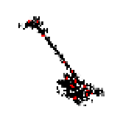 CC(C)C[C@H](NC(=O)C(Cc1cnc[nH]1)NC(=O)[C@H](CO)NC(=O)[C@H](C)NC(=O)[C@H](CO)NC(=O)[C@@H](NC(=O)[C@H](CCCCN)NC(=O)C1CCCN1C(=O)[C@@H](NC(=O)[C@H](CCCNC(=N)N)NC(=O)[C@@H](C)CC(C)C)C(C)C)C(C)C)C(=O)N[C@@H](CCC(=O)O)C(=O)NCCOCCOCCOCCOCCOCCOCCOCCOCCOCCOCCNC(=O)CO[C@@H]1[C@H](O)[C@@H](CO)O[C@H]1n1cnc2c(N)ncnc21